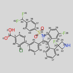 O=C(O)c1ccc(-c2cccc(-c3c(-c4ccccc4C4(F)CNC4)c4cc(F)ccc4n3S(=O)(=O)c3ccc(C(F)F)cc3)c2)c(Cl)c1